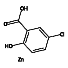 O=C(O)c1cc(Cl)ccc1O.[Zn]